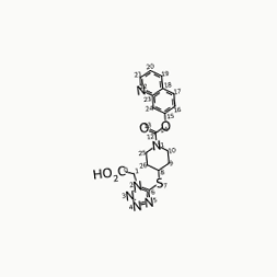 O=C(O)Cn1nnnc1SC1CCN(C(=O)Oc2ccc3cccnc3c2)CC1